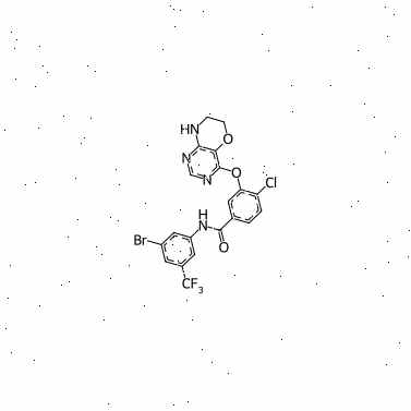 O=C(Nc1cc(Br)cc(C(F)(F)F)c1)c1ccc(Cl)c(Oc2ncnc3c2OCCN3)c1